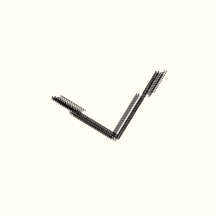 O.O.O.O.O.O.O.O.O.O.O.O.O.O.O.O.O.O.O.O.O.O.O.O.O.O.O.O.O.O.O.O.O.O.O.O.O.O.O.O.O.O.O.O.O.O.O.O.O.O.[Mg+2].[Mg+2].[Mg+2].[Mg+2].[Mg+2].[Mg+2].[Mg+2].[Mg+2].[Mg+2].[Mg+2].[Mg+2].[Mg+2].[Mg+2].[Mg+2].[Mg+2].[Mg+2].[Mg+2].[Mg+2].[Mg+2].[Mg+2].[Mg+2].[Mg+2].[Mg+2].[Mg+2].[Mg+2].[Mg+2].[Mg+2]